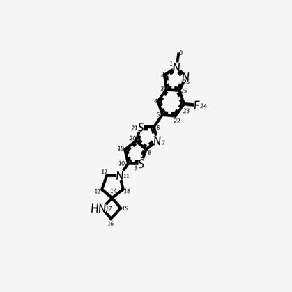 Cn1cc2cc(-c3nc4sc(N5CCC6(CCN6)C5)cc4s3)cc(F)c2n1